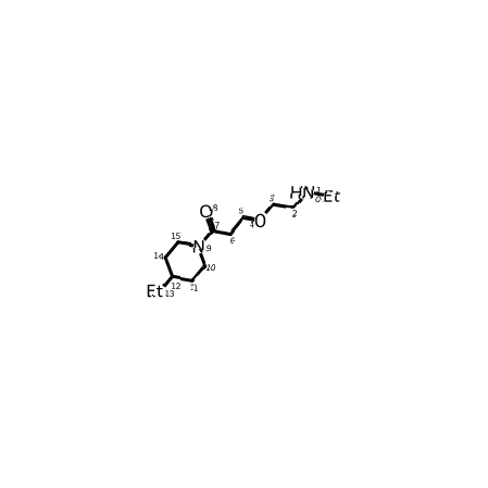 CCNCCOCCC(=O)N1CCC(CC)CC1